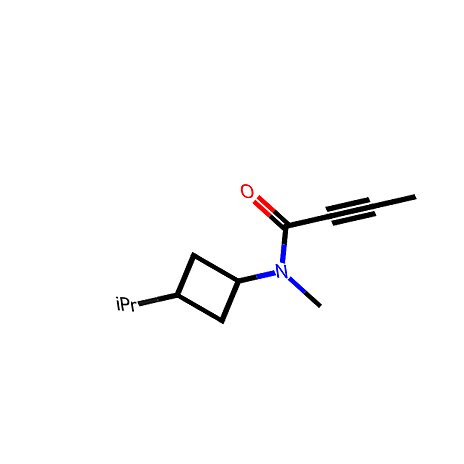 CC#CC(=O)N(C)C1CC(C(C)C)C1